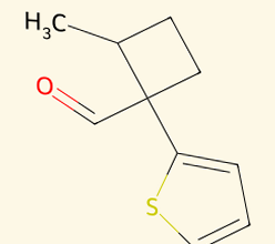 CC1CCC1(C=O)c1cccs1